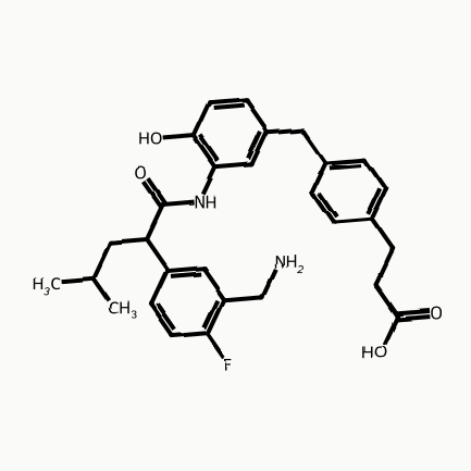 CC(C)CC(C(=O)Nc1cc(Cc2ccc(CCC(=O)O)cc2)ccc1O)c1ccc(F)c(CN)c1